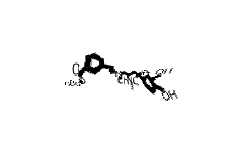 CCCCOC(=O)c1cccc(CCN(C)CCCC(C#N)(c2ccc(CO)c(CO)c2)C(C)C)c1